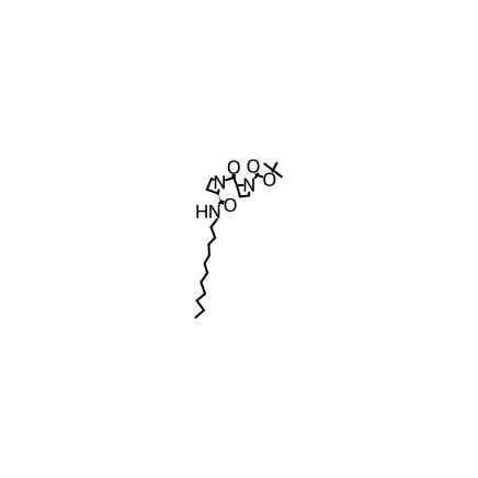 CCCCCCCCCCCCNC(=O)[C@@H]1CCN1C(=O)C1CCN1C(=O)OC(C)(C)C